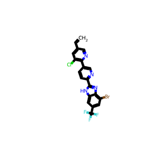 C=Cc1cnc(-c2ccc(-c3nc4c(Br)cc(C(F)(F)F)cc4[nH]3)nc2)c(Cl)c1